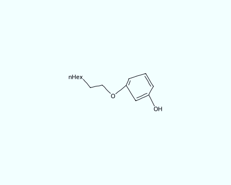 CCCCCCCCOc1cccc(O)c1